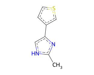 Cc1nc(-c2ccsc2)c[nH]1